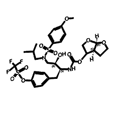 COc1ccc(S(=O)(=O)N(CC(C)C)C[C@@H](O)[C@H](Cc2ccc(OS(=O)(=O)C(F)(F)F)cc2)NC(=O)OC2CO[C@H]3OCC[C@@H]23)cc1